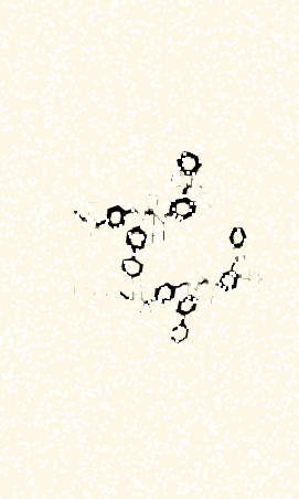 O=C(O)CCNC(=O)c1ccc(CN(C(=O)Nc2ccc(OC(F)(F)F)c(-c3nc4ccccc4o3)c2)c2ccc(C3=CCCCC3)cc2)cc1.O=C(O)CCNC(=O)c1ccc(CN(C(=O)Nc2ccc(OC(F)(F)F)c(-c3nc4ccccc4o3)c2)c2ccc(C3CCCCC3)cc2)cc1